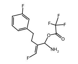 NC(OC(=O)C(F)(F)F)/C(=C/F)CCc1cccc(F)c1